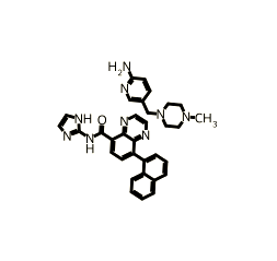 CN1CCN(Cc2ccc(N)nc2)CC1.O=C(Nc1ncc[nH]1)c1ccc(-c2cccc3ccccc23)c2nccnc12